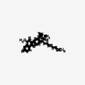 CNC(=O)c1c(-c2ccc(F)cc2)oc2cc(N(CCCOCCOC)S(C)(=O)=O)c(C3CC3)cc12